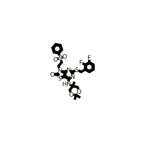 CC1(Nc2nc(SCc3cccc(F)c3F)nc3c2sc(=O)n3CCS(=O)(=O)c2ccccc2)COC(C)(C)OC1